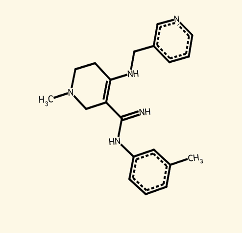 Cc1cccc(NC(=N)C2=C(NCc3cccnc3)CCN(C)C2)c1